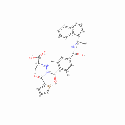 Cc1cc(C(=O)N[C@H](C)c2cccc3ccccc23)cc(C)c1C(=O)N(N[C@@H](C)C(=O)O)C(=O)c1cccs1